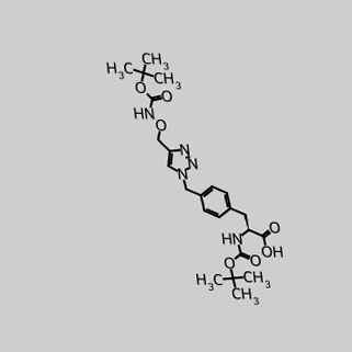 CC(C)(C)OC(=O)NOCc1cn(Cc2ccc(C[C@H](NC(=O)OC(C)(C)C)C(=O)O)cc2)nn1